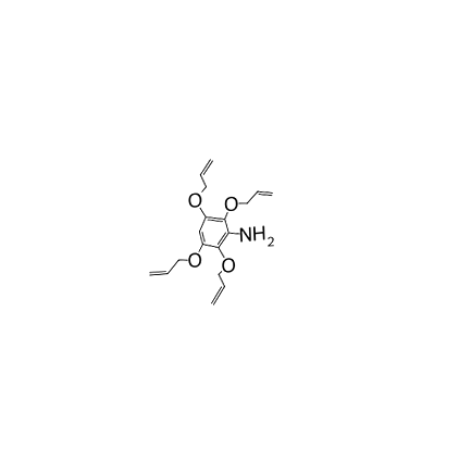 C=CCOc1cc(OCC=C)c(OCC=C)c(N)c1OCC=C